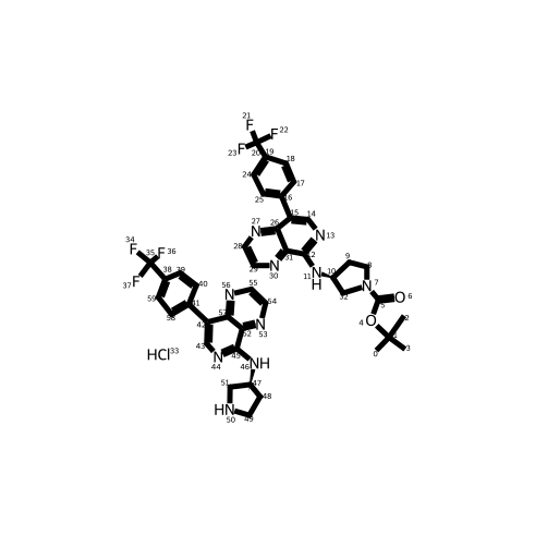 CC(C)(C)OC(=O)N1CC[C@H](Nc2ncc(-c3ccc(C(F)(F)F)cc3)c3nccnc23)C1.Cl.FC(F)(F)c1ccc(-c2cnc(N[C@H]3CCNC3)c3nccnc23)cc1